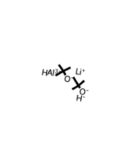 CC(C)(C)[O-].CC(C)(C)[O-].[Al+3].[H-].[H-].[Li+]